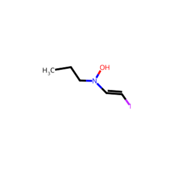 CCCN(O)C=CI